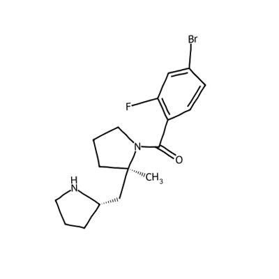 C[C@]1(C[C@@H]2CCCN2)CCCN1C(=O)c1ccc(Br)cc1F